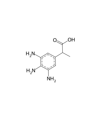 CC(C(=O)O)c1cc(N)c(N)c(N)c1